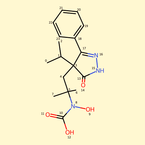 CC(C)C1(CC(C)(C)N(O)C(=O)O)C(=O)NN=C1c1ccccc1